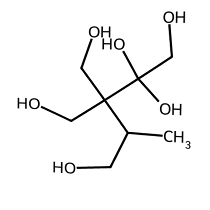 CC(CO)C(CO)(CO)C(O)(O)CO